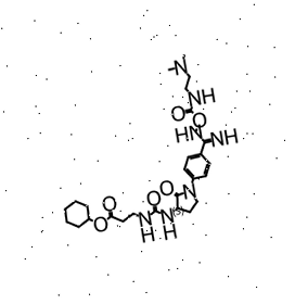 CN(C)CCNC(=O)ONC(=N)c1ccc(N2CC[C@H](NC(=O)NCCC(=O)OC3CCCCC3)C2=O)cc1